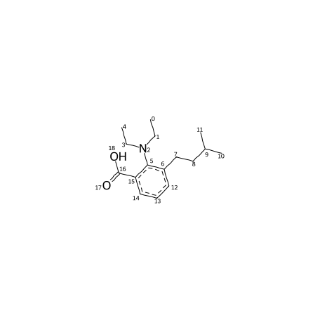 CCN(CC)c1c(CCC(C)C)cccc1C(=O)O